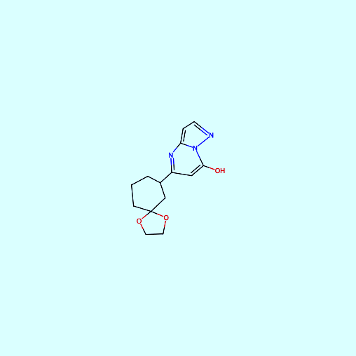 Oc1cc(C2CCCC3(C2)OCCO3)nc2ccnn12